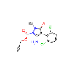 C#CCOC(=O)n1c(N)c(-c2c(Cl)cccc2Cl)c(=O)n1C(C)CC